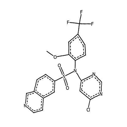 COc1cc(C(F)(F)F)ccc1N(c1cc(Cl)ncn1)S(=O)(=O)c1ccc2cnccc2c1